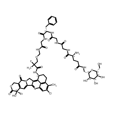 CC[C@@]1(O)C(=O)OCc2c1cc1n(c2=O)Cc2c-1nc1cc(Cl)c(C)c3c1c2[C@@H](NC(=O)C(C)(F)COCNC(=O)CNC(=O)[C@H](Cc1ccccc1)NC(=O)CNC(=O)CNC(=O)[C@@H](N)CCC(=O)NC[C@@H]1O[C@H](CO)[C@@H](O)[C@H](O)[C@H]1O)CC3